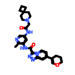 Cc1ncc(NC(=O)CN2CCC3(CCC3)CC2)cc1NC(=O)c1nnc2cc(C3=COCCC3)ccn12